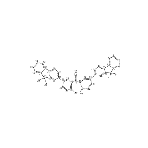 CC1(C)c2ccccc2-c2ccc(C3=CC4C(=O)c5cc(-c6ccc7c(c6)C(C)(C)c6ccccc6-7)ccc5CCC4C=C3)cc21